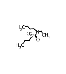 CCCCN(CC)C(=O)[S+]([O-])CCC